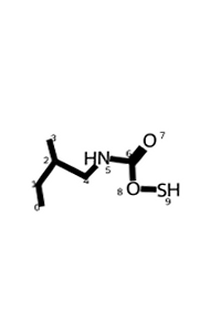 CCC(C)CNC(=O)OS